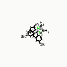 CC(C)C1=Cc2cc(C(C)(C)C)ccc2[CH]1[Zr]([Cl])([Cl])([CH]1C(C(C)C)=Cc2cc(C(C)(C)C)ccc21)[SiH](C)C